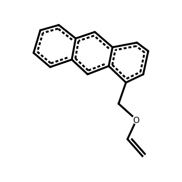 C=COCc1cccc2cc3ccccc3cc12